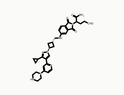 NC(=O)C(CCC=O)N1C(=O)c2ccc(NC[C@H]3C[C@H](n4cc(-c5cc(N6CCNCC6)ccn5)c(C5CC5)n4)C3)cc2C1=O